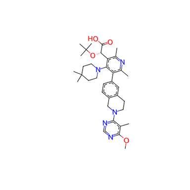 COc1ncnc(N2CCc3cc(-c4c(C)nc(C)c([C@H](OC(C)(C)C)C(=O)O)c4N4CCC(C)(C)CC4)ccc3C2)c1C